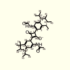 CCc1cc(C2C(=O)C(C3C=C4C(=[N+](C(C)C)C(C)C4(C)C)C=C3NC(C)=O)=C2[O-])c(NC=O)cc1N(C(C)C)C(C)CC